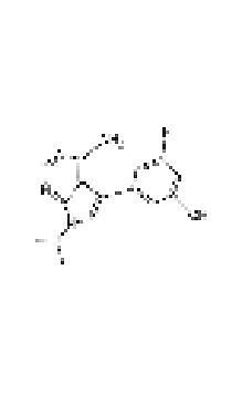 CC(C)n1cc(-c2cc(O)cc(F)c2)c2c(N)ncnc21